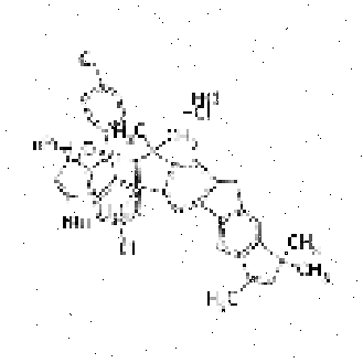 Cl.Cl.[CH2]=[Zr]([C]1=CC(C(C)(C)C)=CC1CCC)([C]1=C(C)c2cc3c(cc2C1(C)C)Cc1cc2c(cc1-3)C(C)=CC2(C)C)([c]1ccc(Cl)cc1)[c]1ccc(Cl)cc1